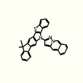 CC1(C)c2ccccc2-c2cc3c(cc21)c1sc2ccccc2c1n3-c1cc2cc3ccccc3cn2n1